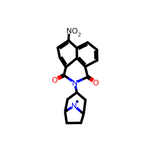 CN1C2CCC1CC(N1C(=O)c3cccc4c([N+](=O)[O-])ccc(c34)C1=O)C2